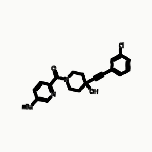 CCCCc1ccc(C(=O)N2CCC(O)(C#Cc3cccc(Cl)c3)CC2)nc1